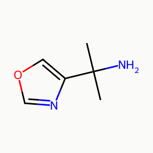 CC(C)(N)c1cocn1